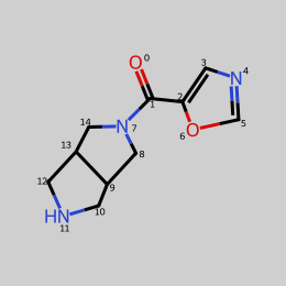 O=C(c1cnco1)N1CC2CNCC2C1